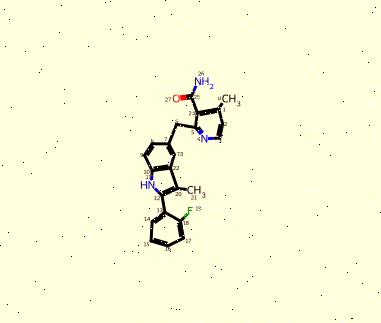 Cc1ccnc(Cc2ccc3[nH]c(-c4ccccc4F)c(C)c3c2)c1C(N)=O